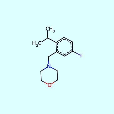 CC(C)c1ccc(I)cc1CN1CCOCC1